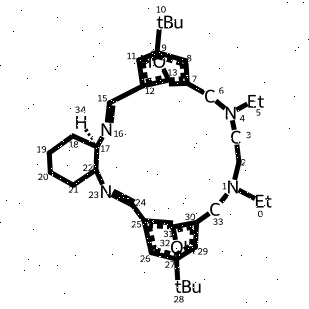 CCN1CCN(CC)Cc2cc(C(C)(C)C)cc(c2O)/C=N/[C@@H]2CCCCC2/N=C/c2cc(C(C)(C)C)cc(c2O)C1